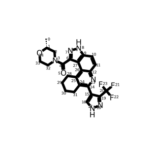 C[C@@H]1CN(C(=O)c2n[nH]c3ccc4nc(-c5c[nH]nc5C(F)(F)F)c5c(c4c23)CCCC5)CCO1